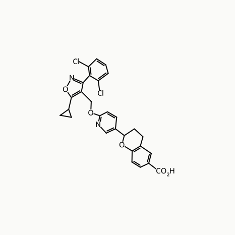 O=C(O)c1ccc2c(c1)CCC(c1ccc(OCc3c(-c4c(Cl)cccc4Cl)noc3C3CC3)nc1)O2